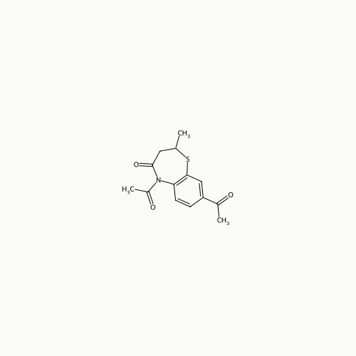 CC(=O)c1ccc2c(c1)SC(C)CC(=O)N2C(C)=O